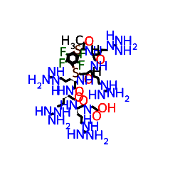 CC(=O)C1N[C@@H](CCCNC(=N)N)C(=O)N[C@@H](CCCNC(=N)N)C(=O)C(N[C@@H](CCCNC(=N)N)C(=O)N[C@@H](CCCNC(=N)N)C(=O)N[C@@H](CCCNC(=N)N)C(=O)NCC(=O)O)Sc2c(F)c(F)c(c(F)c2F)S1